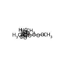 CCOCCOCCOCCOC[C@@]12CO[C@@H](O1)[C@H](NC(C)=O)[C@H]1OC(C)(C)O[C@H]12